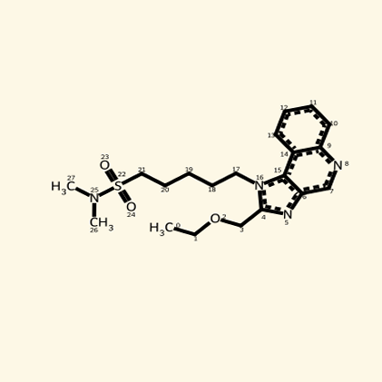 CCOCc1nc2cnc3ccccc3c2n1CCCCCS(=O)(=O)N(C)C